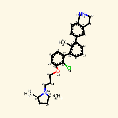 Cc1c(-c2ccc3c(c2)CCNC3)cccc1-c1cccc(OCCCN2[C@H](C)CC[C@H]2C)c1Cl